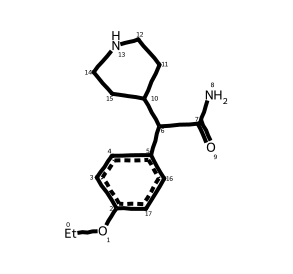 CCOc1ccc(C(C(N)=O)C2CCNCC2)cc1